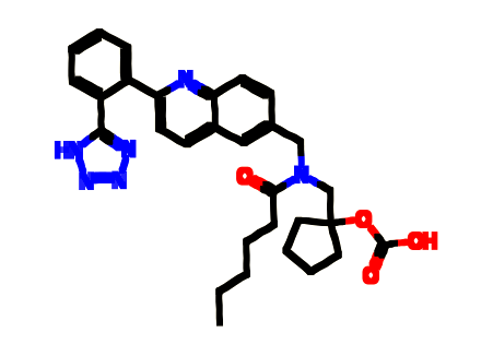 CCCCCC(=O)N(Cc1ccc2nc(-c3ccccc3-c3nnn[nH]3)ccc2c1)CC1(OC(=O)O)CCCC1